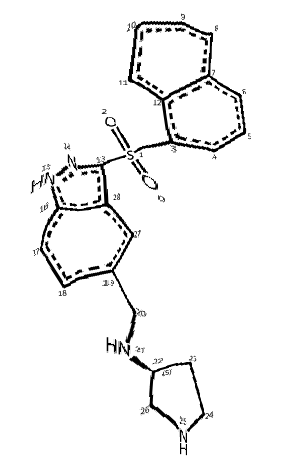 O=S(=O)(c1cccc2ccccc12)c1n[nH]c2ccc(CN[C@H]3CCNC3)cc12